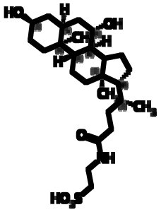 C[C@H](CCC(=O)NCCS(=O)(=O)O)[C@H]1CCC2[C@@H]3[C@@H](O)C[C@@H]4C[C@H](O)CC[C@]4(C)[C@H]3CC[C@@]21C